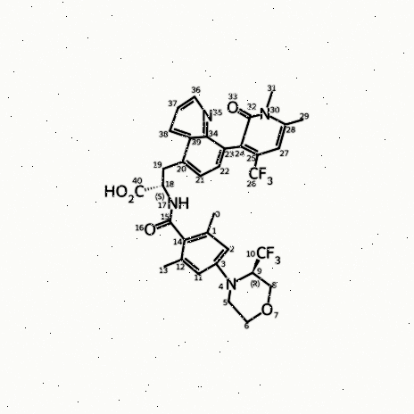 Cc1cc(N2CCOC[C@@H]2C(F)(F)F)cc(C)c1C(=O)N[C@@H](Cc1ccc(-c2c(C(F)(F)F)cc(C)n(C)c2=O)c2ncccc12)C(=O)O